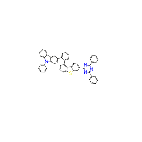 c1ccc(-c2nc(-c3ccccc3)nc(-c3ccc4c(c3)sc3cccc(-c5ccccc5-c5ccc6c(c5)c5ccccc5n6-c5ccccc5)c34)n2)cc1